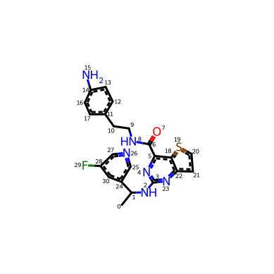 CC(Nc1nc(C(=O)NCCc2ccc(N)cc2)c2sccc2n1)c1cncc(F)c1